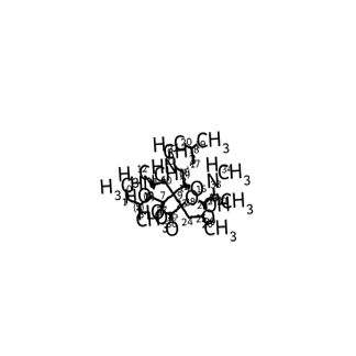 CC[C@H](C)[C@H](NC)C(=O)C(CC(C)O)(C(=O)[C@@H](CC(C)C)NC)C(CC(C)O)(OC(=O)[C@@H](C)NC)C(=O)O